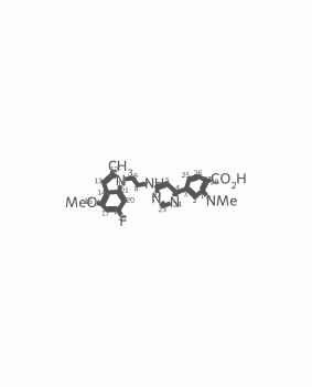 CNc1cc(-c2cc(NCCn3c(C)cc4c(OC)cc(F)cc43)ncn2)ccc1C(=O)O